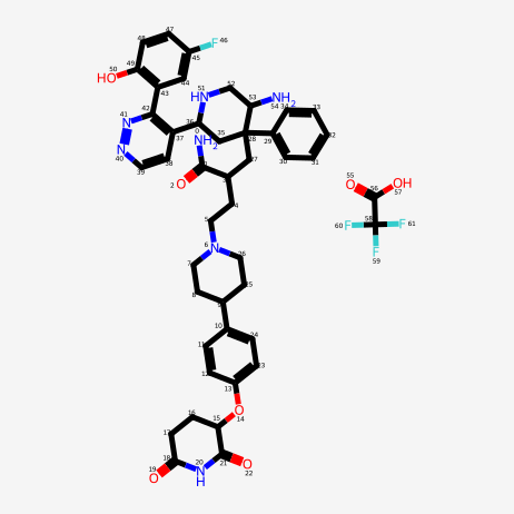 NC(=O)C(CCN1CCC(c2ccc(OC3CCC(=O)NC3=O)cc2)CC1)CC1(c2ccccc2)CC(c2ccnnc2-c2cc(F)ccc2O)NCC1N.O=C(O)C(F)(F)F